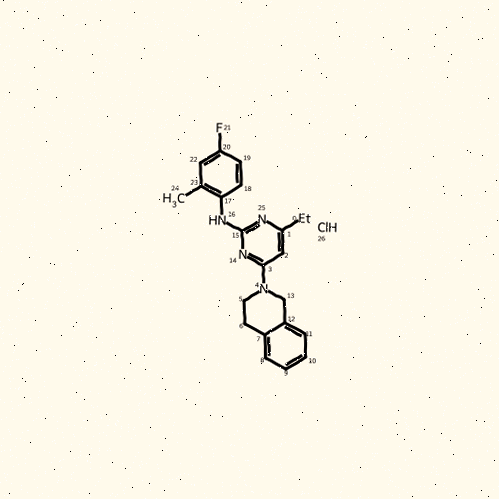 CCc1cc(N2CCc3ccccc3C2)nc(Nc2ccc(F)cc2C)n1.Cl